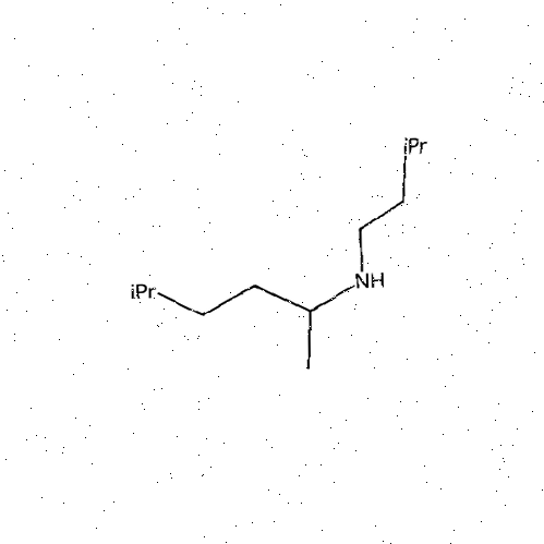 CC(C)CCNC(C)CCC(C)C